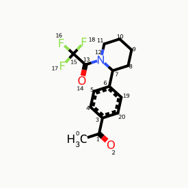 CC(=O)c1ccc(C2CCCCN2C(=O)C(F)(F)F)cc1